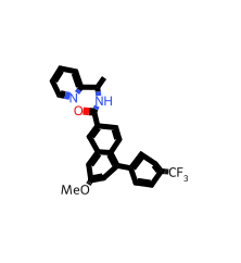 COc1cc(-c2ccc(C(F)(F)F)cc2)c2ccc(C(=O)NC(C)c3ccccn3)cc2c1